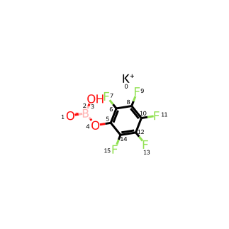 [K+].[O-]B(O)Oc1c(F)c(F)c(F)c(F)c1F